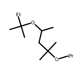 CCC(C)(C)OC(C)CC(C)(C)OC(C)C